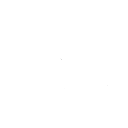 COc1cc(C(=O)N(CCCc2ccc(C)o2)CCCC(C)C(=O)O)cc(OC)c1C